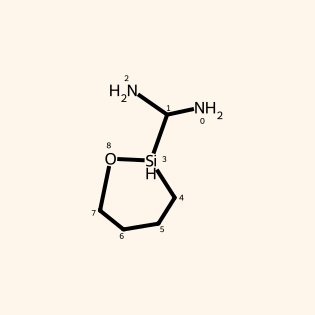 NC(N)[SiH]1CCCCO1